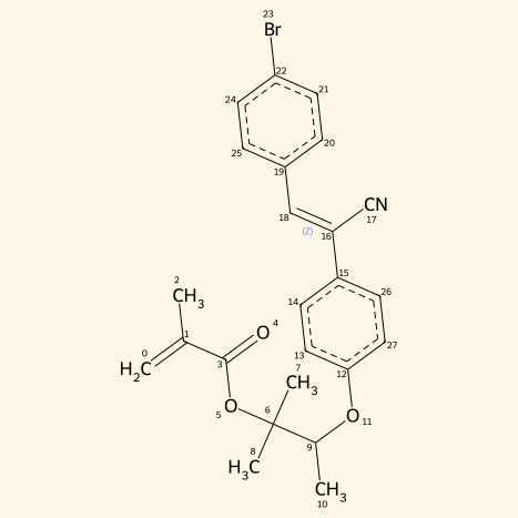 C=C(C)C(=O)OC(C)(C)C(C)Oc1ccc(/C(C#N)=C/c2ccc(Br)cc2)cc1